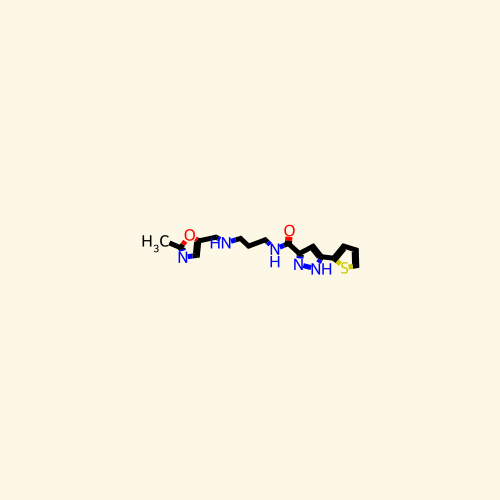 Cc1ncc(CNCCCNC(=O)c2cc(-c3cccs3)[nH]n2)o1